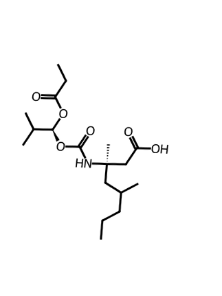 CCCC(C)C[C@](C)(CC(=O)O)NC(=O)O[C@H](OC(=O)CC)C(C)C